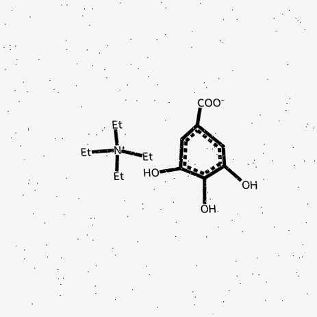 CC[N+](CC)(CC)CC.O=C([O-])c1cc(O)c(O)c(O)c1